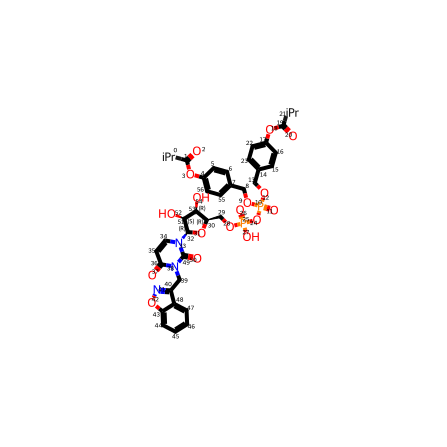 CC(C)C(=O)Oc1ccc(COP(=O)(OCc2ccc(OC(=O)C(C)C)cc2)OP(=O)(O)OC[C@H]2O[C@@H](n3ccc(=O)n(Cc4noc5ccccc45)c3=O)[C@@H](O)[C@H]2O)cc1